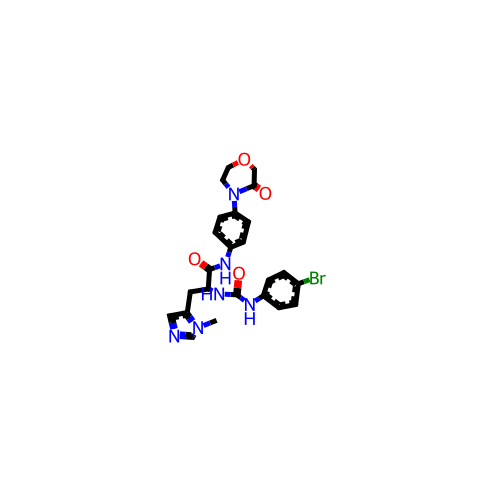 Cn1cncc1CC(NC(=O)Nc1ccc(Br)cc1)C(=O)Nc1ccc(N2CCOCC2=O)cc1